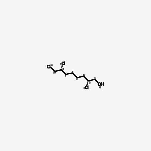 OC[C@H](Cl)CCCC[C@@H](Cl)CCl